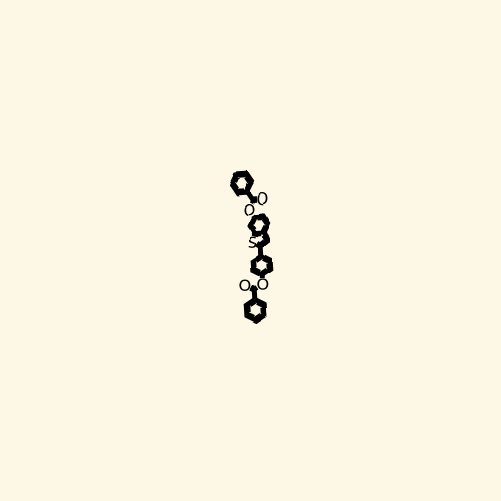 O=C(Oc1ccc(-c2cc3ccc(OC(=O)c4ccccc4)cc3s2)cc1)c1ccccc1